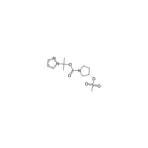 CC(C)(OC(=O)N1CC[C@H](OS(C)(=O)=O)C1)n1cccn1